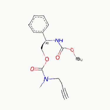 C#CCN(C)C(=O)OC[C@H](NC(=O)OC(C)(C)C)c1ccccc1